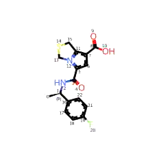 C[C@@H](NC(=O)c1cc(C(=O)O)c2n1CSC2)c1ccc(F)cc1